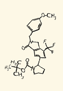 COc1ccc(CN2Cc3c(cc(C4CCCN4C(=O)OC(C)(C)C)cc3C(F)(F)F)C2=O)cc1